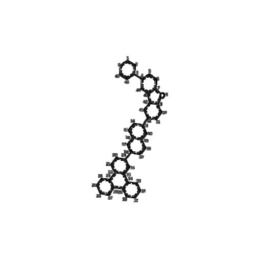 c1ccc(-c2ccc3oc4ccc(-c5ccc6cc(-c7ccc8c9ccccc9c9ccccc9c8c7)ccc6c5)cc4c3c2)cc1